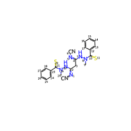 [C-]#[N+]/N=C(/C/C(=N/C#N)NN(C)C(=S)c1ccccc1)NN(C)C(=S)c1ccccc1